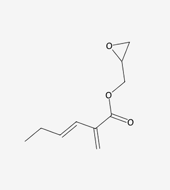 C=C(C=CCC)C(=O)OCC1CO1